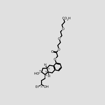 CC[C@H](O)CC[C@@H]1[C@H]2Cc3cccc(OCC(=O)OCCOCCOCCC(=O)O)c3C[C@H]2C[C@H]1O